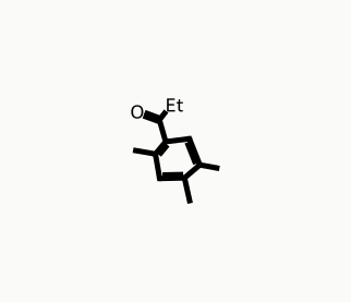 CCC(=O)c1cc(C)c(C)cc1C